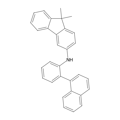 CC1(C)c2ccccc2-c2cc(Nc3ccccc3-c3cccc4ccccc34)ccc21